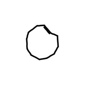 [CH]1CCCC/C=C/CCCCC1